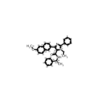 CCn1c(-c2ccccc2)nc(-c2ccc3cc(OC)ccc3c2)c1C(=O)N[C@@H](C)c1ccccc1